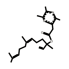 C=CC(C)(CCC=C(C)CCC=C(C)C)OC(=O)Cc1nc(C)c(C)nc1C